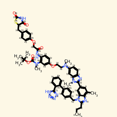 CCCc1nc2c(C)cc(-c3nc4ccc(N(C)CCOc5ccc(NC(=O)COc6ccc(CC7SC(=O)NC7=O)cc6)c(N(C)C(=O)OC(C)(C)C)c5)cc4n3C)cc2n1Cc1ccc(-c2ccccc2-c2nnn[nH]2)cc1